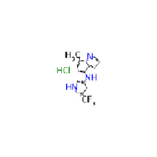 Cc1ccc(N[C@H]2CNC[C@@H](C(F)(F)F)C2)c2cccnc12.Cl